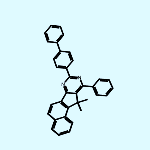 CC1(C)c2c(-c3ccccc3)nc(-c3ccc(-c4ccccc4)cc3)nc2-c2ccc3ccccc3c21